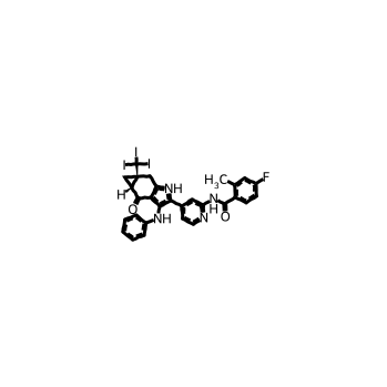 Cc1cc(F)ccc1C(=O)Nc1cc(-c2[nH]c3c(c2Nc2ccccc2)C(=O)[C@@H]2C[C@]2(C(I)(I)I)C3)ccn1